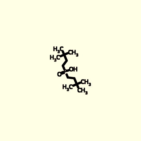 CC(C)(C)CCP(=O)(O)CCC(C)(C)C